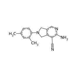 Cc1ccc(N2Cc3cnc(N)c(C#N)c3C2)c(C)c1